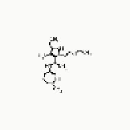 CCOCCN1NC(CC)C(N)=C1C(N)NC1=CNC(C)CCC1